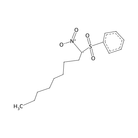 CCCCCCCC[C]([N+](=O)[O-])S(=O)(=O)c1ccccc1